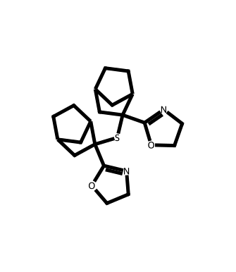 C1COC(C2(SC3(C4=NCCO4)CC4CCC3C4)CC3CCC2C3)=N1